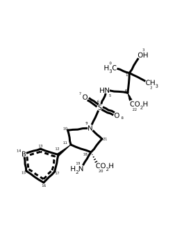 CC(C)(O)[C@H](NS(=O)(=O)N1C[C@H](c2cbccc2)[C@@](N)(C(=O)O)C1)C(=O)O